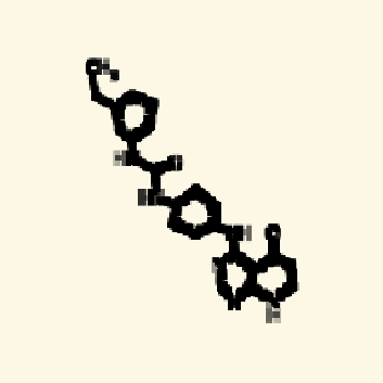 CCc1cccc(NC(=O)Nc2ccc(Nc3ncnc4[nH]ccc(=O)c34)cc2)c1